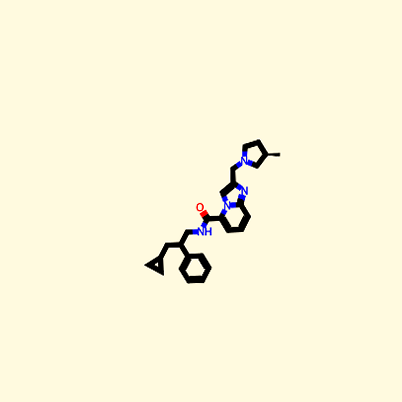 C[C@@H]1CCN(Cc2cn3c(C(=O)NCC(CC4CC4)c4ccccc4)cccc3n2)C1